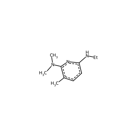 CCNc1ccc(C)c(N(C)C)n1